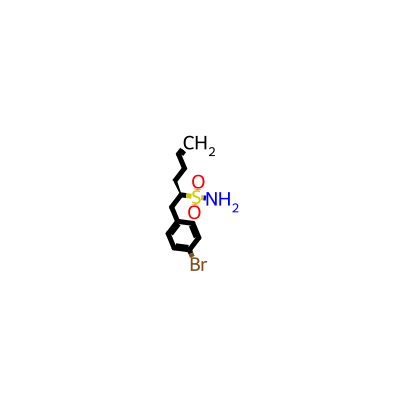 C=CCC[C@H](Cc1ccc(Br)cc1)S(N)(=O)=O